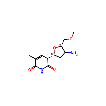 COC[C@H]1O[C@@H](C2C=C(C)C(=O)NC2=O)CC1N